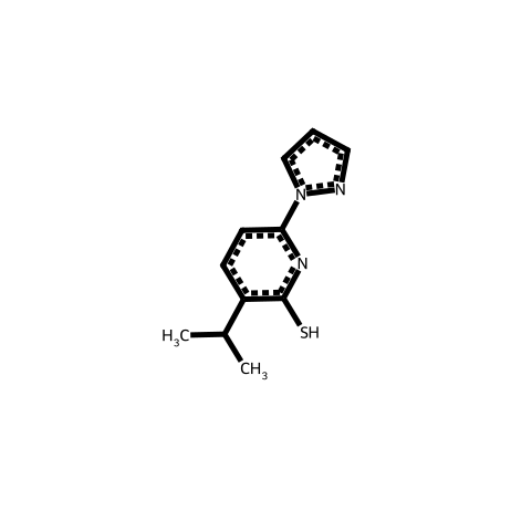 CC(C)c1ccc(-n2cccn2)nc1S